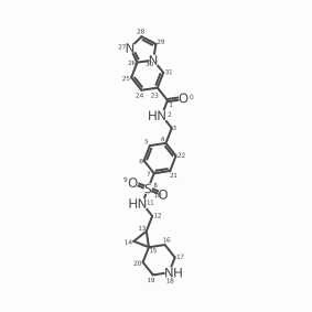 O=C(NCc1ccc(S(=O)(=O)NCC2CC23CCNCC3)cc1)c1ccc2nccn2c1